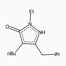 CCCCc1c(CC(C)C)[nH]n(CC)c1=O